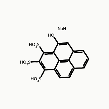 O=S(=O)(O)c1c(S(=O)(=O)O)c2ccc3cccc4cc(O)c(c1S(=O)(=O)O)c2c34.[NaH]